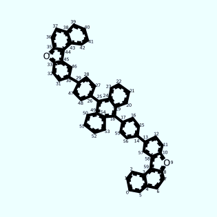 c1ccc2c(c1)ccc1oc3ccc(-c4ccc(-c5c6ccccc6c(-c6ccc(-c7ccc8oc9ccc%10ccccc%10c9c8c7)cc6)c6ccccc56)cc4)cc3c12